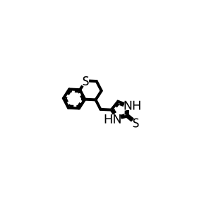 S=c1[nH]cc(CC2CCSc3ccccc32)[nH]1